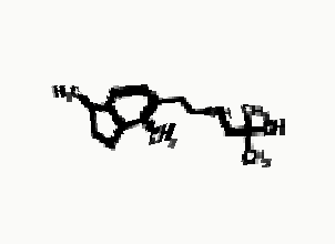 C=C1CCc2c1ccc(CCNCC(C)(C)O)c2C